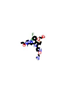 C=CC(=O)N1CCn2nc(-c3nc(-c4ccc(OCCN(C)C)nc4)c4ccsc4c3-c3c(F)cc(F)cc3OCCOC)cc2[C@H]1C